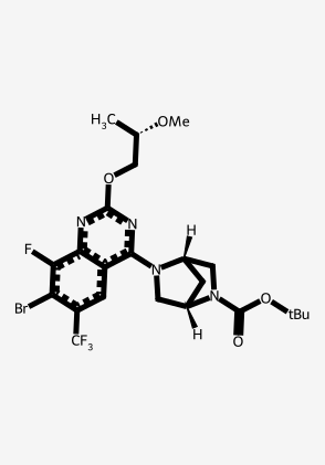 CO[C@@H](C)COc1nc(N2C[C@@H]3C[C@H]2CN3C(=O)OC(C)(C)C)c2cc(C(F)(F)F)c(Br)c(F)c2n1